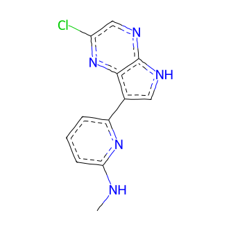 CNc1cccc(-c2c[nH]c3ncc(Cl)nc23)n1